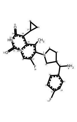 Cc1c(N2CCC(C(N)c3ccc(F)cc3)C2)c(F)cn2c(=O)[nH]c(=O)c(C3CC3)c12